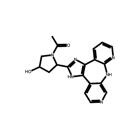 CC(=O)N1CC(O)CC1c1nc2c([nH]1)-c1ccncc1Nc1ncccc1-2